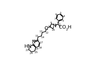 O=C(O)C(c1ccccc1)N1CC(OCCCCc2ccc3c(n2)NCCC3)C1